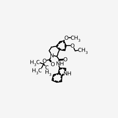 CCOc1cc2c(cc1OC)CCN(C(=O)OC(C)(C)C)C2C(=O)Nc1c[nH]c2ccccc12